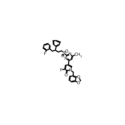 Cc1cc(-c2cc(F)c(=O)n(Cc3cccc4c3OCO4)c2)nc(S(=O)(=O)CCC(Cc2ccccc2F)c2ccccc2)n1